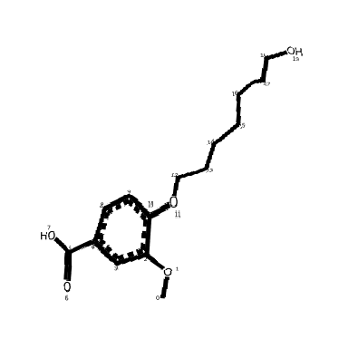 COc1cc(C(=O)O)ccc1OCCCCCCCO